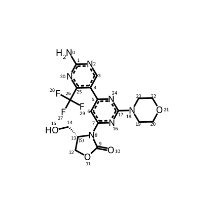 Nc1ncc(-c2cc(N3C(=O)OC[C@@H]3CO)nc(N3CCOCC3)n2)c(C(F)(F)F)n1